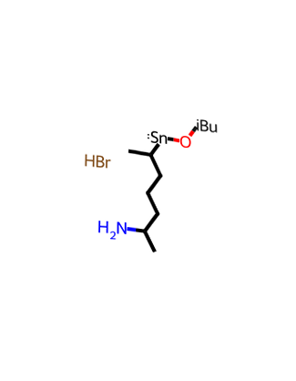 Br.CCC(C)[O][Sn][CH](C)CCCC(C)N